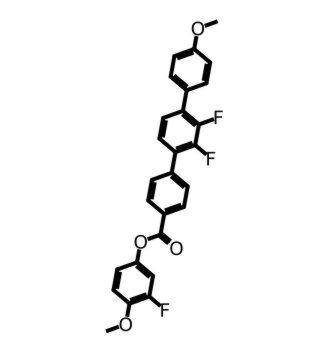 COc1ccc(-c2ccc(-c3ccc(C(=O)Oc4ccc(OC)c(F)c4)cc3)c(F)c2F)cc1